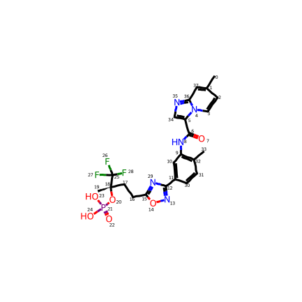 Cc1ccn2c(C(=O)Nc3cc(-c4noc(CC[C@](C)(OP(=O)(O)O)C(F)(F)F)n4)ccc3C)cnc2c1